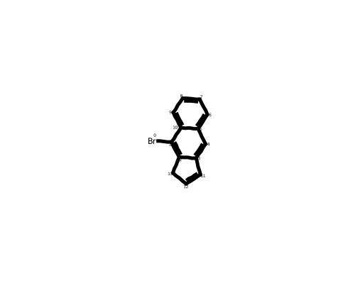 Brc1c2c(cc3ccccc13)C=CC2